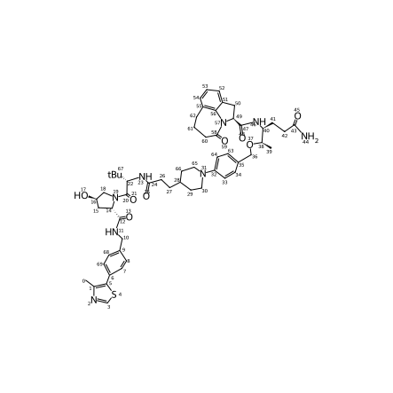 Cc1ncsc1-c1ccc(CNC(=O)[C@@H]2C[C@@H](O)CN2C(=O)[C@@H](NC(=O)CCC2CCN(c3ccc(CO[C@H](C)[C@H](CCC(N)=O)NC(=O)[C@@H]4Cc5cccc6c5N4C(=O)CCC6)cc3)CC2)C(C)(C)C)cc1